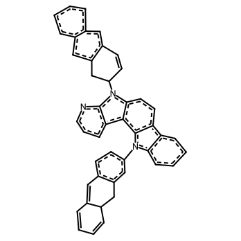 C1=CC2=Cc3ccc(-n4c5ccccc5c5ccc6c(c7cccnc7n6C6C=Cc7cc8ccccc8cc7C6)c54)cc3CC2C=C1